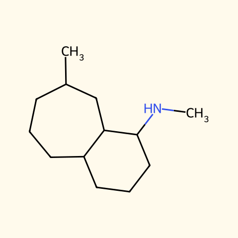 CNC1CCCC2CCCC(C)CC21